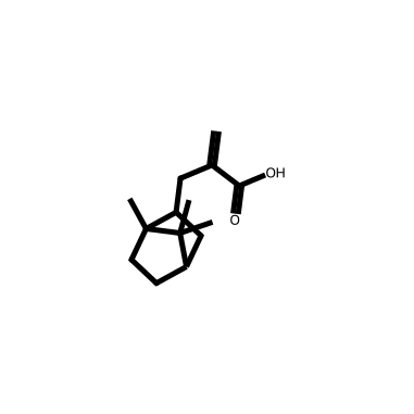 C=C(CC1CC2CCC1(C)C2(C)C)C(=O)O